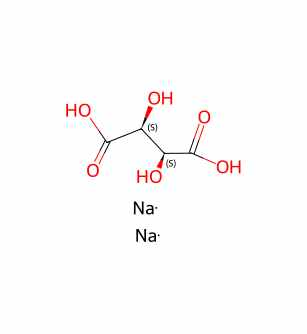 O=C(O)[C@@H](O)[C@H](O)C(=O)O.[Na].[Na]